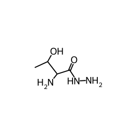 CC(O)C(N)C(=O)NN